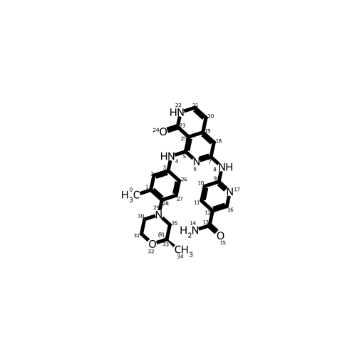 Cc1cc(Nc2nc(Nc3ccc(C(N)=O)cn3)cc3cc[nH]c(=O)c23)ccc1N1CCO[C@H](C)C1